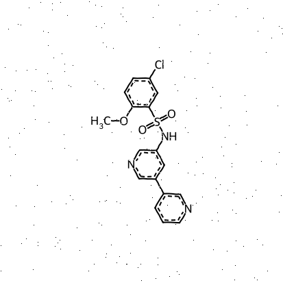 COc1ccc(Cl)cc1S(=O)(=O)Nc1cncc(-c2cccnc2)c1